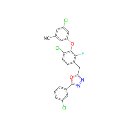 N#Cc1cc(Cl)cc(Oc2c(Cl)ccc(Cc3nnc(-c4cccc(Cl)c4)o3)c2F)c1